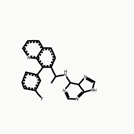 CC(NC1N=CN=C2NC=NC21)c1ccc2cccnc2c1-c1cccc(F)c1